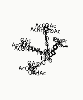 C#CCCOP(Oc1ccc(-c2ccc(CC(C(=O)NCCOCCOCCOC3OC(COC(C)=O)C(OC(C)=O)C(OC(C)=O)C3NC(C)=O)N(CC(=O)NCCOCCOCCOC3OC(COC(C)=O)C(OC(C)=O)C(OC(C)=O)C3NC(C)=O)CC(=O)NCCOCCOCCOC3OC(COC(C)=O)C(OC(C)=O)C(OC(C)=O)C3NC(C)=O)cc2)cc1)N(C(C)C)C(C)C